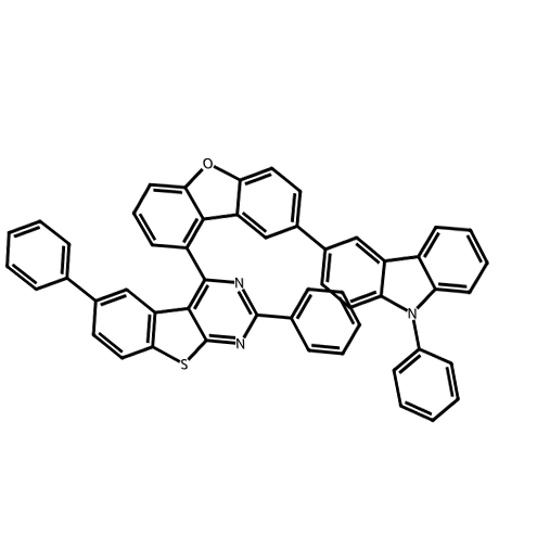 c1ccc(-c2ccc3sc4nc(-c5ccccc5)nc(-c5cccc6oc7ccc(-c8ccc9c(c8)c8ccccc8n9-c8ccccc8)cc7c56)c4c3c2)cc1